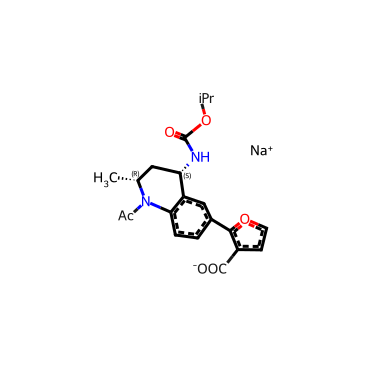 CC(=O)N1c2ccc(-c3occc3C(=O)[O-])cc2[C@@H](NC(=O)OC(C)C)C[C@H]1C.[Na+]